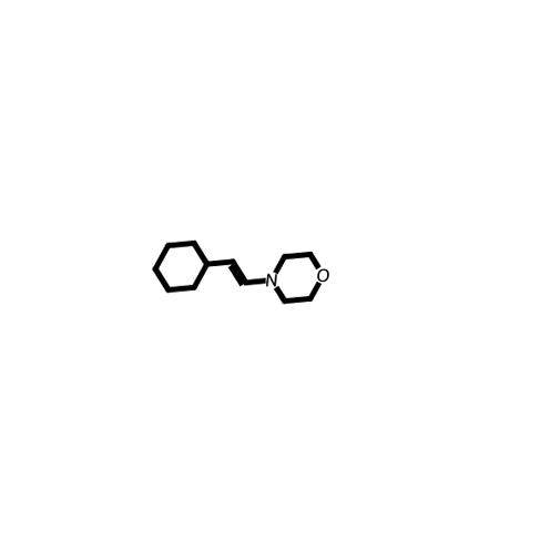 C(=CN1CCOCC1)C1CCCCC1